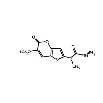 BNC(=O)N(C)c1cc2oc(=O)c(C(=O)O)cc2s1